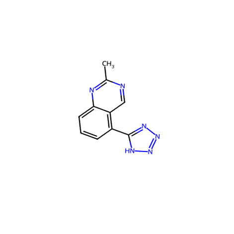 Cc1ncc2c(-c3nnn[nH]3)cccc2n1